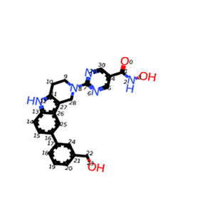 O=C(NO)c1cnc(N2CCc3[nH]c4ccc(-c5cccc(CO)c5)cc4c3C2)nc1